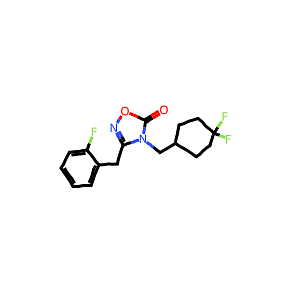 O=c1onc(Cc2ccccc2F)n1CC1CCC(F)(F)CC1